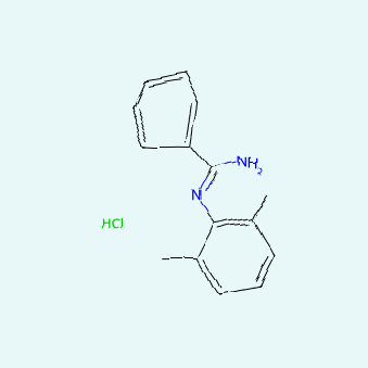 Cc1cccc(C)c1N=C(N)c1ccccc1.Cl